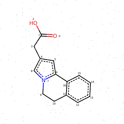 O=C(O)Cc1cc2n(c1)CCc1ccccc1-2